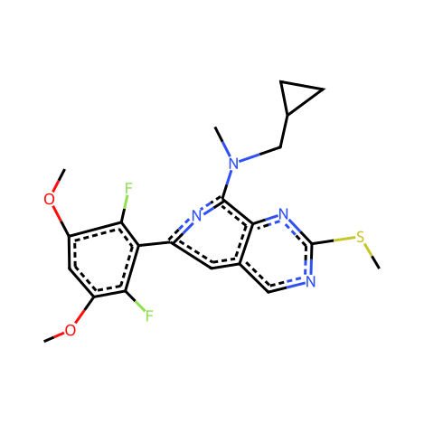 COc1cc(OC)c(F)c(-c2cc3cnc(SC)nc3c(N(C)CC3CC3)n2)c1F